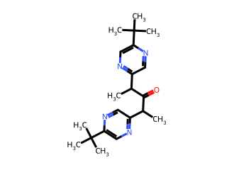 CC(C(=O)C(C)c1cnc(C(C)(C)C)cn1)c1cnc(C(C)(C)C)cn1